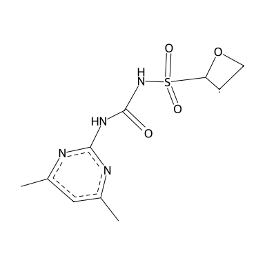 Cc1cc(C)nc(NC(=O)NS(=O)(=O)C2[CH]CO2)n1